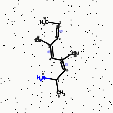 C\C=C/C(=C\C(=C/C(C)N)C(C)(C)C)C(C)(C)C